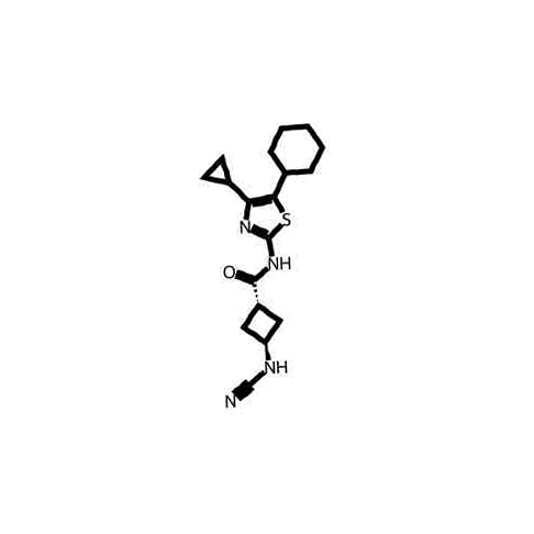 N#CN[C@H]1C[C@H](C(=O)Nc2nc(C3CC3)c(C3CCCCC3)s2)C1